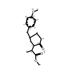 COC(=O)C(C)C1CC(Cc2ccc(OC)cc2)CCC1=O